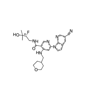 CC(C)(O)[C@H](F)CNC(=O)c1cnc(-n2ccc3cc(C#N)cnc32)cc1NCC1CCOCC1